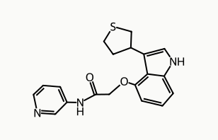 O=C(COc1cccc2[nH]cc(C3CCSC3)c12)Nc1cccnc1